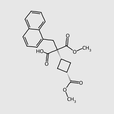 COC(=O)C(Cc1cccc2ccccc12)(C(=O)O)[C@H]1C[C@@H](C(=O)OC)C1